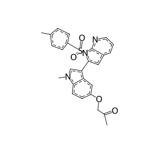 CC(=O)COc1ccc2c(c1)c(-c1cc3cccnc3n1S(=O)(=O)c1ccc(C)cc1)cn2C